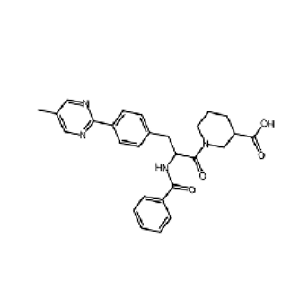 Cc1cnc(-c2ccc(CC(NC(=O)c3ccccc3)C(=O)N3CCCC(C(=O)O)C3)cc2)nc1